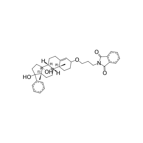 C[C@]12CCC(OCCCN3C(=O)c4ccccc4C3=O)C=C1CC[C@@H]1[C@H]2CC[C@]2(C)C(O)(c3ccccc3)CC[C@@]12O